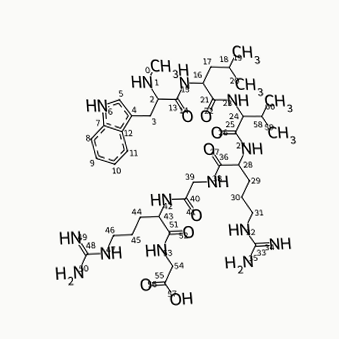 CNC(Cc1c[nH]c2ccccc12)C(=O)NC(CC(C)C)C(=O)NC(C(=O)NC(CCCNC(=N)N)C(=O)NCC(=O)NC(CCCNC(=N)N)C(=O)NCC(=O)O)C(C)C